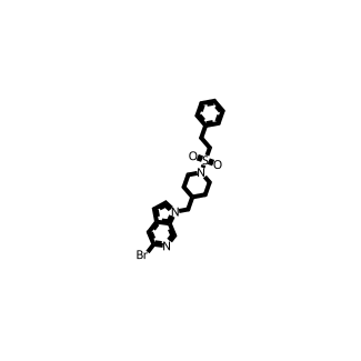 O=S(=O)(CCc1ccccc1)N1CCC(Cn2ccc3cc(Br)ncc32)CC1